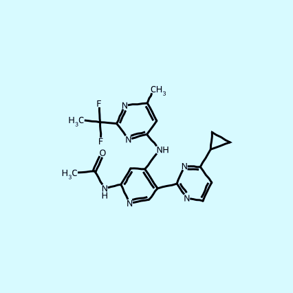 CC(=O)Nc1cc(Nc2cc(C)nc(C(C)(F)F)n2)c(-c2nccc(C3CC3)n2)cn1